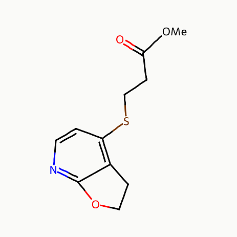 COC(=O)CCSc1ccnc2c1CCO2